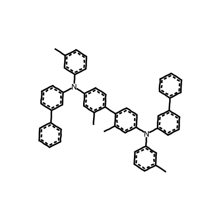 Cc1cccc(N(c2cccc(-c3ccccc3)c2)c2ccc(-c3ccc(N(c4cccc(C)c4)c4cccc(-c5ccccc5)c4)cc3C)c(C)c2)c1